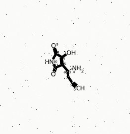 C#CC[C@@H](N)C1=C(O)C(=O)NC1=O